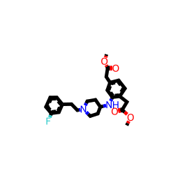 COC(=O)Cc1ccc(CC(=O)OC)c(NC2CCN(CCc3cccc(F)c3)CC2)c1